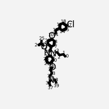 CCCCn1c(-c2ccc(OCCc3ccc(Cl)cc3)cc2OC(C)C)nc2ccc(OCCCN(CC)CC)cc21